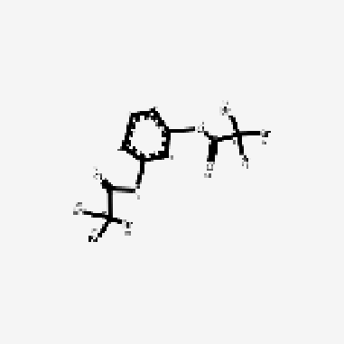 O=C(Oc1cccc(OC(=O)C(Br)(Br)Br)c1)C(Br)(Br)Br